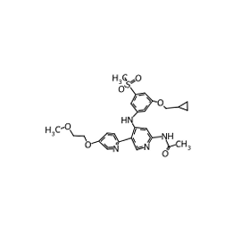 COCCOc1ccc(-c2cnc(NC(C)=O)cc2Nc2cc(OCC3CC3)cc(S(C)(=O)=O)c2)nc1